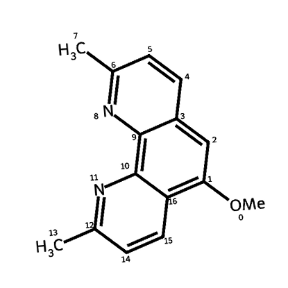 COc1cc2ccc(C)nc2c2nc(C)ccc12